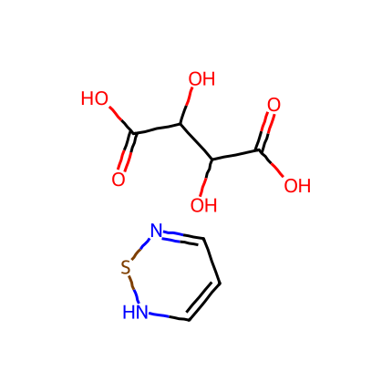 C1=CNSN=C1.O=C(O)C(O)C(O)C(=O)O